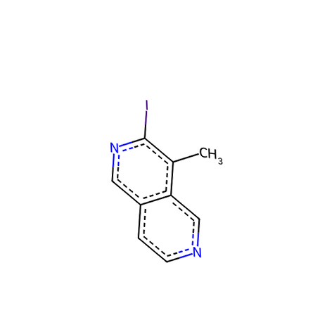 Cc1c(I)ncc2ccncc12